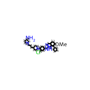 COc1ccc2cnc(Nc3ccc(N4CCC(CCCN5CCC(N)C5)CC4)c(Cl)c3)nc2c1C1CCCC1